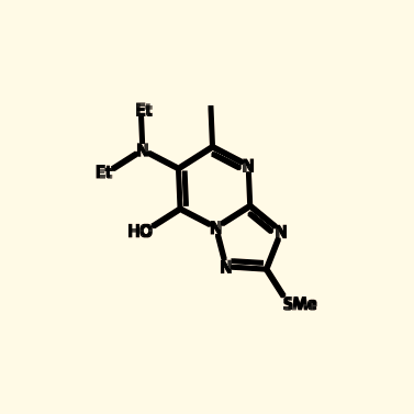 CCN(CC)c1c(C)nc2nc(SC)nn2c1O